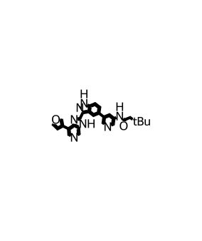 CC(C)(C)CC(=O)Nc1cncc(-c2ccc3[nH]nc(-c4nc5c(-c6ccoc6)cncc5[nH]4)c3c2)c1